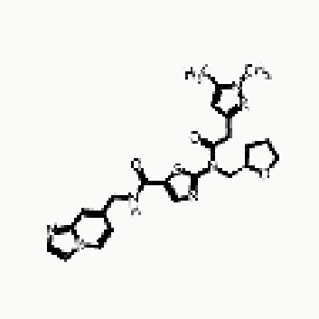 Cc1cc(CC(=O)N(C[C@H]2CCCO2)c2ncc(C(=O)NCc3ccn4ccnc4c3)s2)nn1C